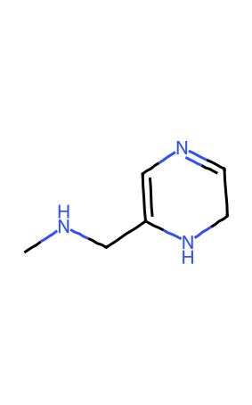 CNCC1=CN=CCN1